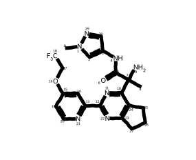 Cn1cc(NC(=O)C(C)(N)c2nc(-c3cc(OCC(F)(F)F)ccn3)nc3c2CCC3)cn1